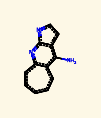 Nc1c2cccccc2nc2nccc12